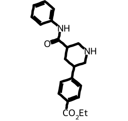 CCOC(=O)c1ccc(C2CNCC(C(=O)Nc3ccccc3)C2)cc1